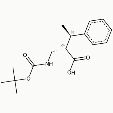 C[C@@H](c1ccccc1)[C@@H](CNC(=O)OC(C)(C)C)C(=O)O